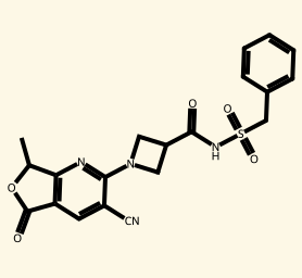 CC1OC(=O)c2cc(C#N)c(N3CC(C(=O)NS(=O)(=O)Cc4ccccc4)C3)nc21